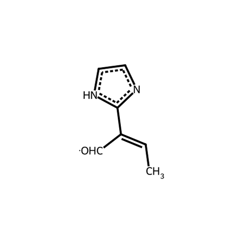 CC=C([C]=O)c1ncc[nH]1